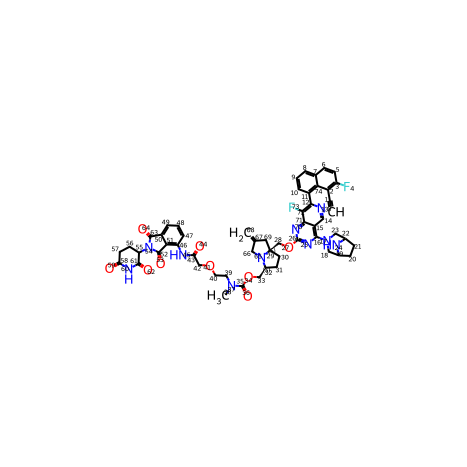 C#Cc1c(F)ccc2cccc(-c3ncc4c(N5CC6CCC(C5)N6)nc(OC[C@@]56CC[C@@H](COC(=O)N(C)CCOCC(=O)Nc7cccc8c7C(=O)N(C7CCC(=O)NC7=O)C8=O)N5CC(=C)C6)nc4c3F)c12